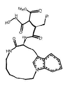 COC(=O)C(C(=O)NO)[C@@H](CC(C)C)C(=O)N[C@H]1Cc2cn(c3ccccc23)CCCCCCNC1=O